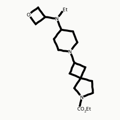 CCOC(=O)N1CCC2(CC(N3CCC(N(CC)C4COC4)CC3)C2)C1